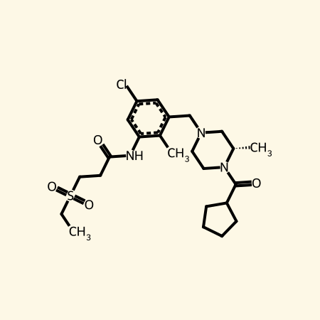 CCS(=O)(=O)CCC(=O)Nc1cc(Cl)cc(CN2CCN(C(=O)C3CCCC3)[C@@H](C)C2)c1C